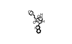 O=C1N(CCN2CCOCC2)C(=O)[C@@]23CNC[C@H]2CC(c2cnc4ccccc4c2)N13